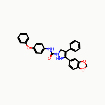 O=C(Nc1ccc(Oc2ccccc2)cc1)N1CC(c2ccccc2)=C(c2ccc3c(c2)OCO3)N1